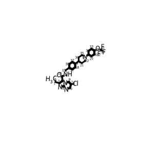 CCc1nc2ncc(Cl)cn2c1C(=O)NCc1ccc(C2CCN(c3ccc(OC(F)(F)F)cc3)CC2)cc1